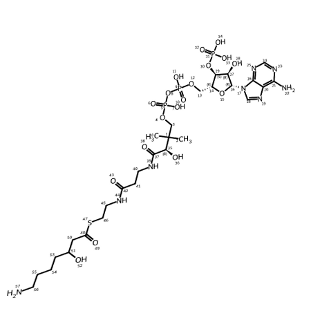 CC(C)(COP(=O)(O)OP(=O)(O)OC[C@H]1O[C@@H](n2cnc3c(N)ncnc32)[C@H](O)[C@@H]1OP(=O)(O)O)[C@@H](O)C(=O)NCCC(=O)NCCSC(=O)CC(O)CCCCN